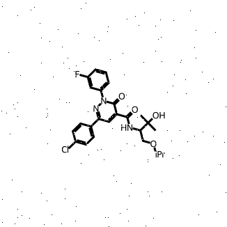 CC(C)OCC(NC(=O)c1cc(-c2ccc(Cl)cc2)nn(-c2cccc(F)c2)c1=O)C(C)(C)O